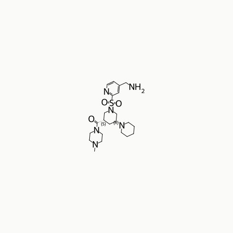 CN1CCN(C(=O)[C@H]2C[C@@H](N3CCCCC3)CN(S(=O)(=O)c3cc(CN)ccn3)C2)CC1